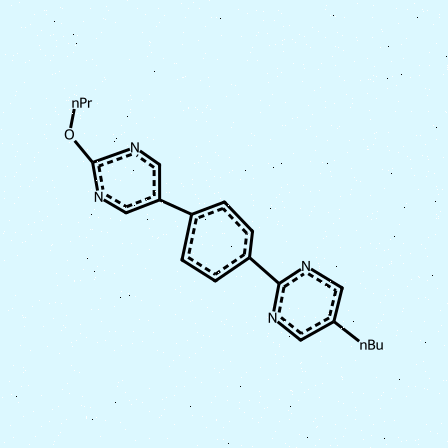 CCCCc1cnc(-c2ccc(-c3cnc(OCCC)nc3)cc2)nc1